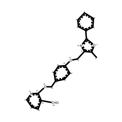 Cc1oc(-c2ccccc2)nc1COc1ccc(COc2ncccc2C=O)cc1